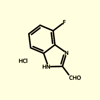 Cl.O=Cc1nc2c(F)cccc2[nH]1